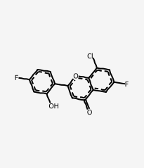 O=c1cc(-c2ccc(F)cc2O)oc2c(Cl)cc(F)cc12